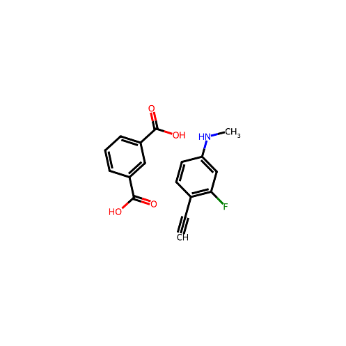 C#Cc1ccc(NC)cc1F.O=C(O)c1cccc(C(=O)O)c1